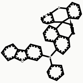 c1ccc(N(c2ccc3c(c2)oc2ccccc23)c2ccc3c4c(cccc24)C2(c4ccccc4Sc4ccccc42)c2ccccc2-3)cc1